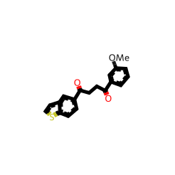 COc1cccc(C(=O)CCC(=O)c2ccc3sccc3c2)c1